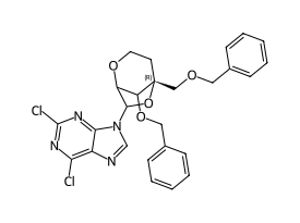 Clc1nc(Cl)c2ncn(C3O[C@@]4(COCc5ccccc5)CCOC3C4OCc3ccccc3)c2n1